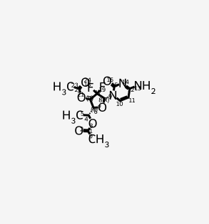 CC(=O)OC(C)[C@H]1O[C@@H](n2ccc(N)nc2=O)C(F)(F)[C@@H]1OC(C)=O